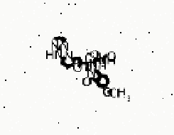 COc1ccc2c(c1)C(=O)N(C[C@](C)(NC(=O)NC=O)c1cc3nc(Nc4ncccn4)ccc3o1)C2